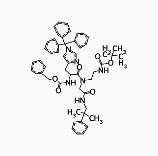 CC(C)(C)OC(=O)NCCN(CC(=O)NCC(C)(C)c1ccccc1)C(=O)C(Cc1cn(C(c2ccccc2)(c2ccccc2)c2ccccc2)cn1)NC(=O)OCc1ccccc1